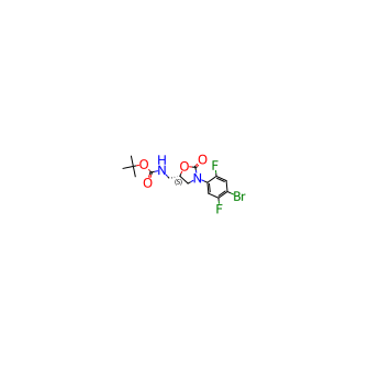 CC(C)(C)OC(=O)NC[C@H]1CN(c2cc(F)c(Br)cc2F)C(=O)O1